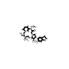 CCCCN(C(=O)CN1C[C@H](c2ccc3c(c2)CCO3)[C@@H](C(=O)O)[C@@H]1CCN(C)C(C)=O)c1ccc[n+](C)c1